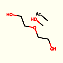 CC(C)=O.CO.OCCOCCO